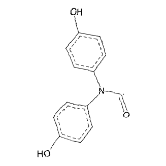 O=[C]N(c1ccc(O)cc1)c1ccc(O)cc1